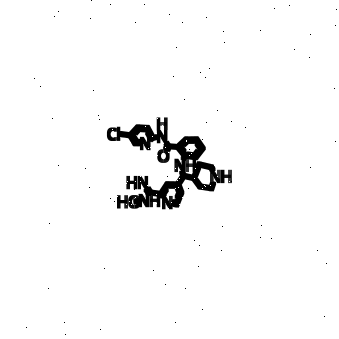 N=C(NO)c1cc(C(Nc2ccccc2C(=O)Nc2ccc(Cl)cn2)C2CCNCC2)ccn1